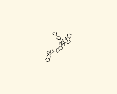 c1ccc(-c2ccc(-c3nc(-c4ccc5ccc(-c6ccc7oc8cc9ccccc9cc8c7c6)cc5c4)nc(-c4cccc5c4sc4ccccc45)n3)cc2)cc1